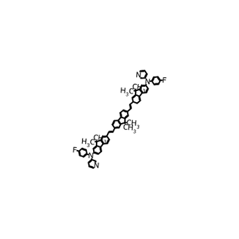 CC1(C)C2=CC(/C=C/c3ccc4c(c3)C(C)(C)c3cc(/C=C/c5ccc6c(c5)C(C)(C)c5cc(N(c7ccc(F)cc7)c7cccnc7)ccc5-6)ccc3-4)CC=C2c2ccc(N(c3ccc(F)cc3)c3cccnc3)cc21